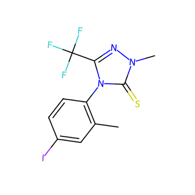 Cc1cc(I)ccc1-n1c(C(F)(F)F)nn(C)c1=S